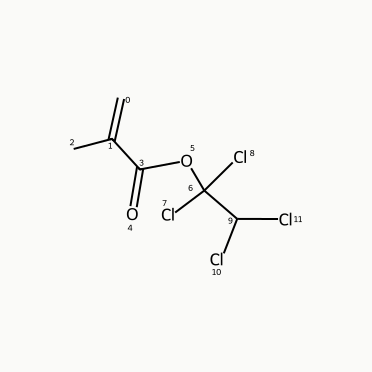 C=C(C)C(=O)OC(Cl)(Cl)C(Cl)Cl